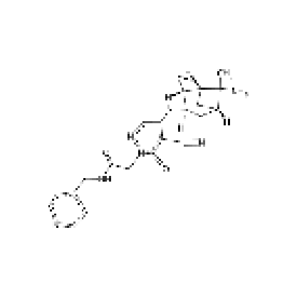 C[C@@H]1[C@H]2C[C@@H](C[C@H]1Nc1cnn(CC(=O)NCc3ccncc3)c(=O)c1C#N)C2(C)C